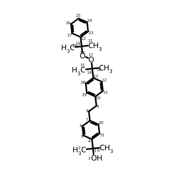 CC(C)(O)c1ccc(CCc2ccc(C(C)(C)OOC(C)(C)c3ccccc3)cc2)cc1